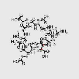 CC(=O)N[C@H](CO)C(=O)N[C@H](CCC(=O)O)C(=O)N[C@H](CC(=O)O)C1OC1N[C@H](CC(N)=O)C(=O)N[C@H](C)C(=O)N[C@H](CC(=O)O)C(=O)N[C@H](CCC(=O)O)C(=O)N[C@H](CCC(=O)O)C(=O)N[C@H](C)C(N)=O